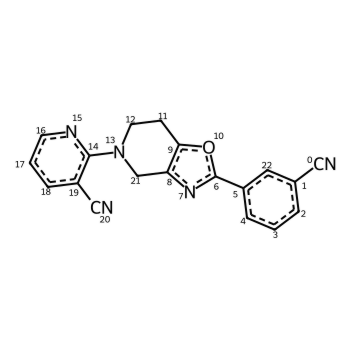 N#Cc1cccc(-c2nc3c(o2)CCN(c2ncccc2C#N)C3)c1